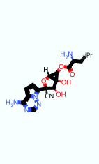 CC(C)C[C@H](N)C(=O)OC1[C@H]2O[C@@](C#N)(c3ccc4c(N)ncnn34)[C@H](O)[C@@]12O